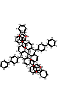 C1=Cc2oc3c(-c4ccc5c(c4)C4(c6cc(-c7ccccc7)ccc6N(c6ccc(-c7ccccc7)cc6)c6ccc(-c7ccccc7)cc64)c4cc(-c6cccc7c6oc6ccccc67)ccc4N5c4ccc(-c5ccccc5)cc4)cccc3c2CC1